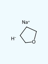 C1CCOC1.[H-].[Na+]